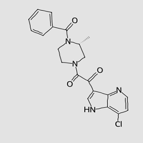 C[C@@H]1CN(C(=O)C(=O)c2c[nH]c3c(Cl)ccnc23)CCN1C(=O)c1ccccc1